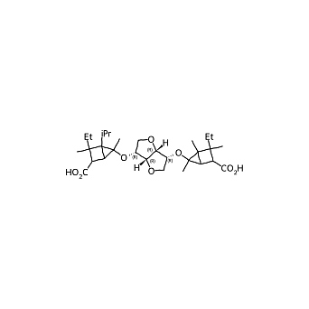 CCC1(C)C(C(=O)O)C2C(C)(O[C@@H]3CO[C@H]4[C@@H]3OC[C@H]4OC3(C)C4C(C(=O)O)C(C)(CC)C43C(C)C)C21C